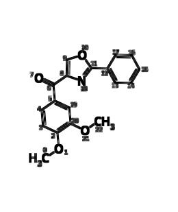 COc1ccc(C(=O)c2coc(-c3ccccc3)n2)cc1OC